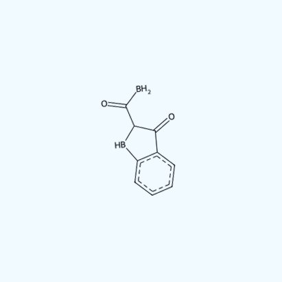 BC(=O)C1Bc2ccccc2C1=O